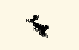 CC1=CC(=O)N(Nc2nc(-c3cccs3)nc3sc(-c4ccc(OCCN(C)CCC(=O)O)cc4)c(C)c23)C1=O